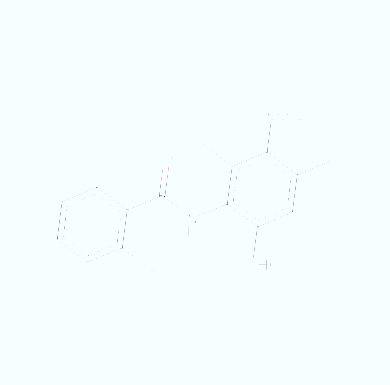 CCOC(=O)c1c(C)cc(C=O)c(NC(=O)c2ccccc2F)c1C